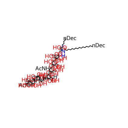 CCCCCCCCCCCCC/C=C/[C@@H](O)[C@H](CO[C@@H]1OC(CO)[C@@H](O[C@@H]2OC(CO)[C@H](O)[C@H](O[C@@H]3OC(CO)[C@@H](O)[C@H](O[C@@H]4OC(CO)[C@H](O)[C@H](O[C@]5(C(=O)O)CC(O)[C@@H](NC(C)=O)C([C@H](O)[C@@H](CO)O[C@]6(C(=O)O)CC(O)[C@@H](NC(C)=O)C([C@H](O)[C@H](O)CO)O6)O5)C4O)C3NC(C)=O)C2O)[C@H](O)C1O)NC(=O)CCCCCCCCCCCCCCCCCCCCCCCCC